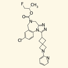 C[C@@H](CF)OC(=O)N1Cc2cc(Cl)ccc2-n2c(nnc2C2CC3(C2)CN(c2ccccn2)C3)C1